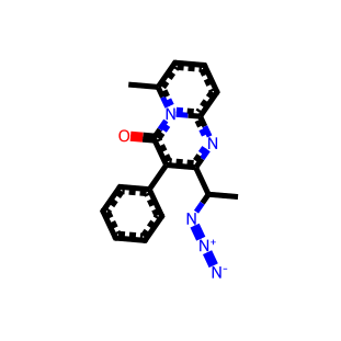 Cc1cccc2nc(C(C)N=[N+]=[N-])c(-c3ccccc3)c(=O)n12